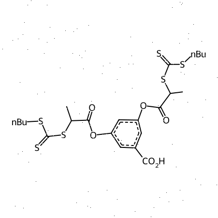 CCCCSC(=S)SC(C)C(=O)Oc1cc(OC(=O)C(C)SC(=S)SCCCC)cc(C(=O)O)c1